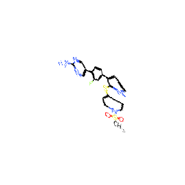 CS(=O)(=O)N1CCC(Sc2ncccc2-c2ccc(-c3cnc(N)nc3)c(F)c2)CC1